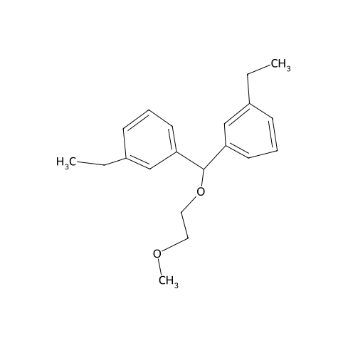 CCc1cccc(C(OCCOC)c2cccc(CC)c2)c1